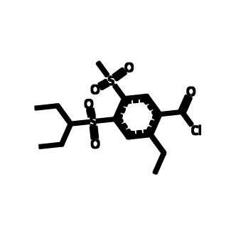 CCc1cc(S(=O)(=O)C(CC)CC)c(S(C)(=O)=O)cc1C(=O)Cl